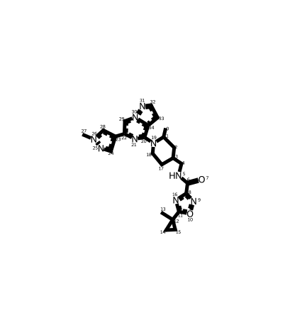 CC1CC(CNC(=O)c2noc(C3(C)CC3)n2)CCN1c1nc(-c2cnn(C)c2)cn2nccc12